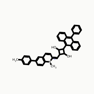 Cc1ccc(-c2ccc3c(c2)C=C/C(=C\C2C(O)C(c4c5ccccc5c(-c5ccccc5)c5ccccc45)C2O)N3C)cc1